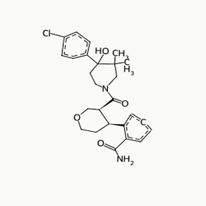 CC1(C)CN(C(=O)[C@@H]2COCC[C@@H]2c2ccccc2C(N)=O)CCC1(O)c1ccc(Cl)cc1